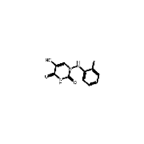 Cc1ccccc1Nn1cc(C#N)c(=O)[nH]c1=O